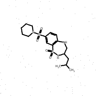 CC(C)CC1CNc2ccc(S(=O)(=O)N3CCCCC3)cc2S(=O)(=O)N1